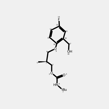 C[C@H](COC(=O)NC(C)(C)C)COc1ccc(F)cc1CO